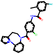 Cc1ccc(F)cc1C(=O)Nc1ccc(C(=O)N2CCc3cccn3-c3ccccc32)c(Cl)c1